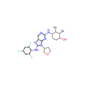 [2H]C1C(O)CCC(Nc2ncc3nc(Nc4c(F)cc(F)cc4F)n(C4CCOC4)c3n2)C1[2H]